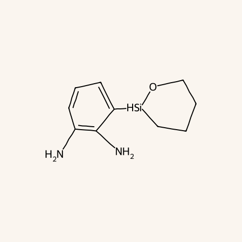 Nc1cccc([SiH]2CCCCO2)c1N